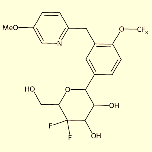 COc1ccc(Cc2cc(C3OC(CO)C(F)(F)C(O)C3O)ccc2OC(F)(F)F)nc1